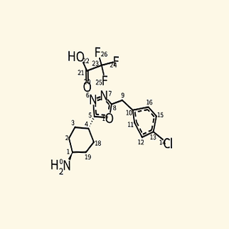 N[C@H]1CC[C@H](c2nnc(Cc3ccc(Cl)cc3)o2)CC1.O=C(O)C(F)(F)F